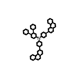 c1ccc(-c2ccc(N(c3ccc(-c4ccc5ccc6ccccc6c5c4)cc3)c3ccc(-c4ccc5ccc6ccccc6c5c4)cc3)cc2-c2ccccc2)cc1